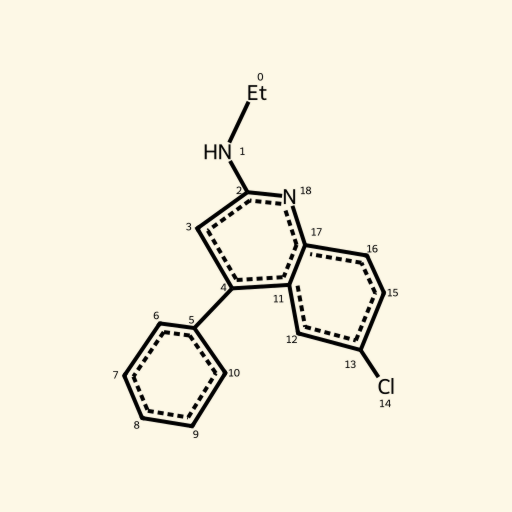 CCNc1cc(-c2ccccc2)c2cc(Cl)ccc2n1